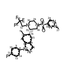 Cc1cc2c(cnn2-c2ccc(F)cc2)cc1[C@H]1CN(S(=O)(=O)c2cnn(C)n2)CCN1CC(F)(F)F